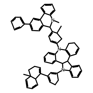 CC1CC(N2C3=C(C=CCC3)C3c4ccccc4N(C4=CC(C5=CCCC6(C)C=CC=CC56)=CCC4)C3c3ccccc32)=CC=C1C1c2ccc(-c3ccccc3)cc2-c2ccccc2N1C